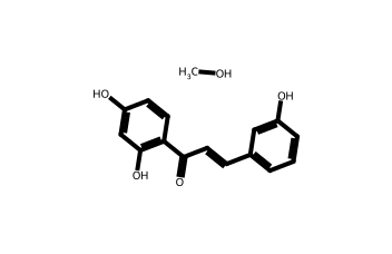 CO.O=C(/C=C/c1cccc(O)c1)c1ccc(O)cc1O